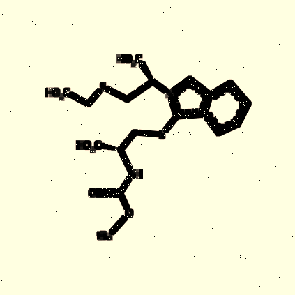 CC(C)(C)OC(=O)N[C@@H](CSc1c2ccccc2cn1[C@@H](CSCC(=O)O)C(=O)O)C(=O)O